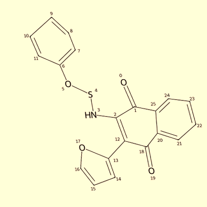 O=C1C(NSOc2ccccc2)=C(c2ccco2)C(=O)c2ccccc21